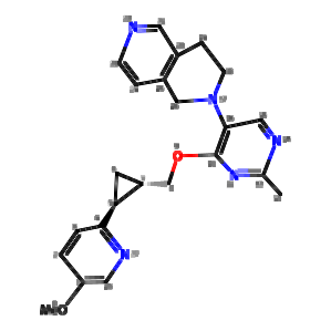 COc1ccc([C@H]2C[C@@H]2COc2nc(C)ncc2N2CCc3cnccc3C2)nc1